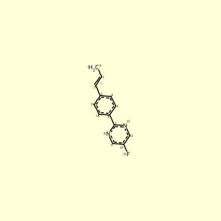 [CH2]/C=C/c1ccc(-c2ncc(F)cn2)cc1